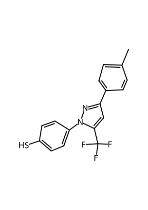 Cc1ccc(-c2cc(C(F)(F)F)n(-c3ccc(S)cc3)n2)cc1